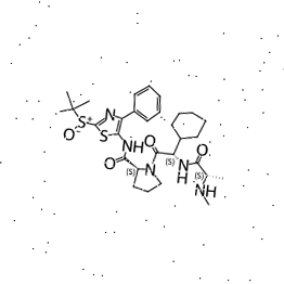 CN[C@@H](C)C(=O)N[C@H](C(=O)N1CCC[C@H]1C(=O)Nc1sc([S+]([O-])C(C)(C)C)nc1-c1ccccc1)C1CCCCC1